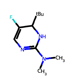 CN(C)C1=NC=C(F)C(C(C)(C)C)N1